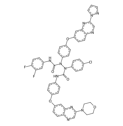 O=C(Nc1ccc(Oc2ccc3ncc(N4CCOCC4)nc3c2)cc1)N(c1ccc(Cl)cc1)N(C(=O)Nc1ccc(F)c(F)c1)c1ccc(Oc2ccc3ncc(-n4cccn4)nc3c2)cc1